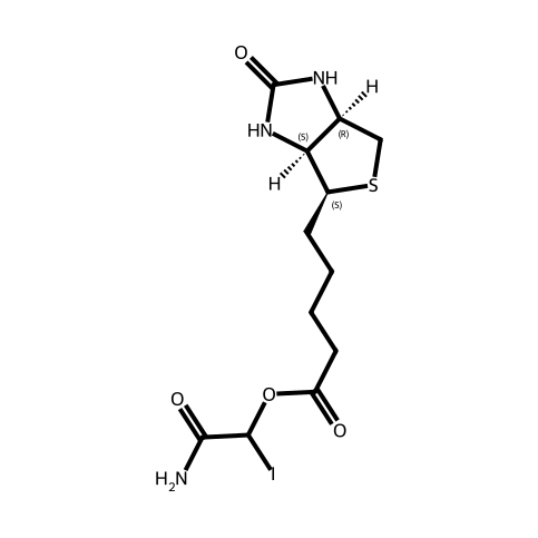 NC(=O)C(I)OC(=O)CCCC[C@@H]1SC[C@@H]2NC(=O)N[C@@H]21